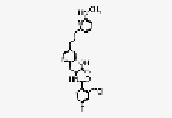 CCc1cc(F)ccc1C(=O)N[C@@H](Cc1ccc(CCCc2cccc(NC)n2)cn1)C(=O)O